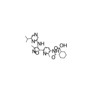 Cc1nc(-c2onc(C)c2Nc2cncc(C(C)C)n2)ccc1NC(=O)[C@H]1CCCC[C@@H]1C(=O)O